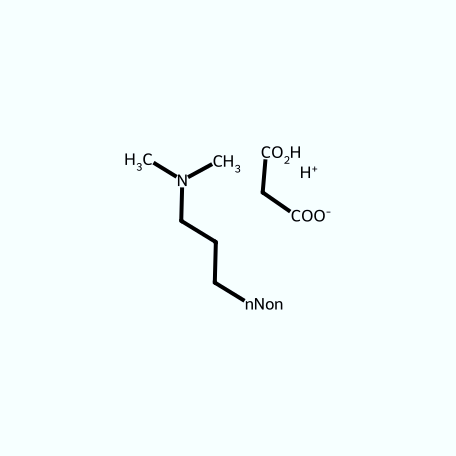 CCCCCCCCCCCCN(C)C.O=C([O-])CC(=O)O.[H+]